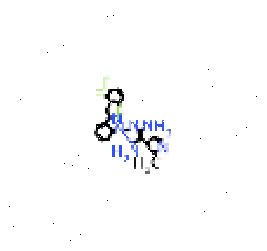 Cc1cc(-c2c(N)nc(-n3nc(Cc4c(F)ccc(F)c4F)c4ccccc43)nc2N)ccn1